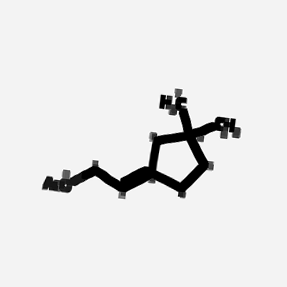 CC(=O)OCC=C1CCC(C)(C)C1